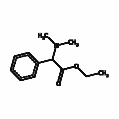 CCOC(=O)[CH](c1ccccc1)[Bi]([CH3])[CH3]